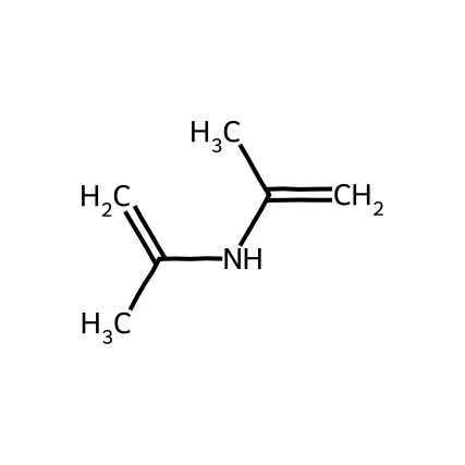 C=C(C)NC(=C)C